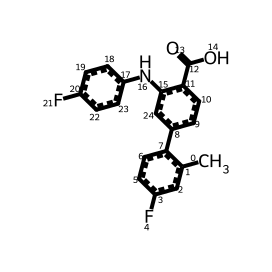 Cc1cc(F)ccc1-c1ccc(C(=O)O)c(Nc2ccc(F)cc2)c1